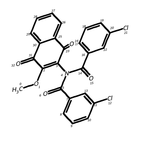 COC1=C(N(C(=O)c2cccc(Cl)c2)C(=O)c2cccc(Cl)c2)C(=O)c2ccccc2C1=O